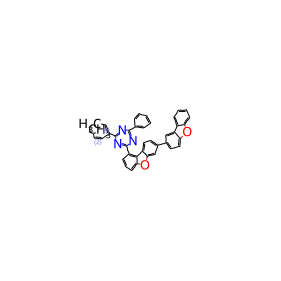 C/C=C\C(=C/C)c1nc(-c2ccccc2)nc(-c2cccc3oc4cc(-c5ccc6oc7ccccc7c6c5)ccc4c23)n1